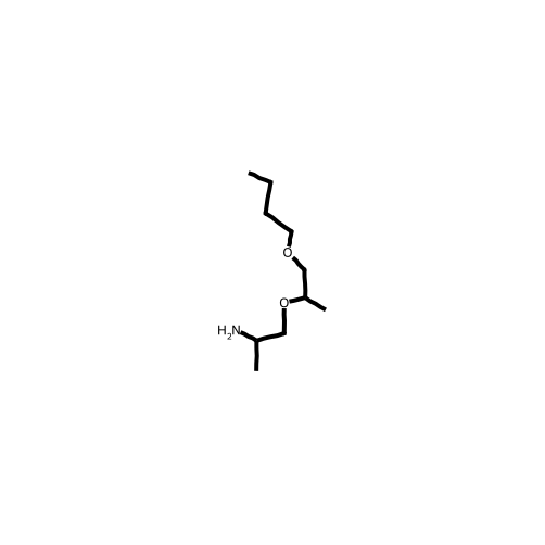 CCCCOCC(C)OCC(C)N